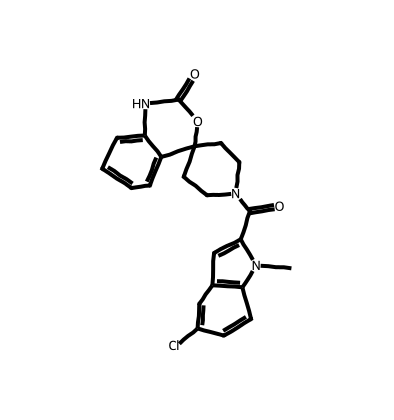 Cn1c(C(=O)N2CCC3(CC2)OC(=O)Nc2ccccc23)cc2cc(Cl)ccc21